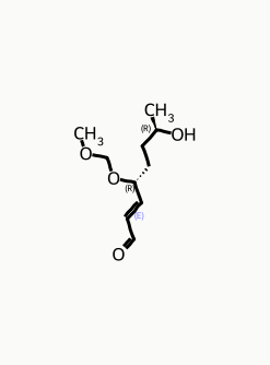 COCO[C@@H](/C=C/C=O)CC[C@@H](C)O